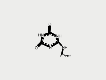 CCCCCNc1nc(=O)[nH]c(=O)[nH]1